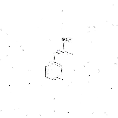 C/C(=C\c1ccccc1)S(=O)(=O)O